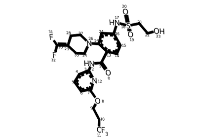 O=C(Nc1cccc(OCCC(F)(F)F)n1)c1ccc(NS(=O)(=O)CCO)cc1N1CCC(=C(F)F)CC1